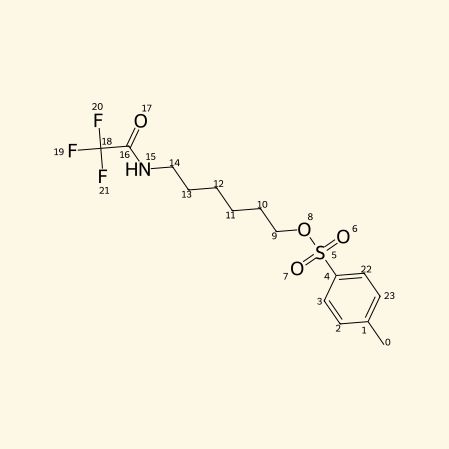 Cc1ccc(S(=O)(=O)OCCCCCCNC(=O)C(F)(F)F)cc1